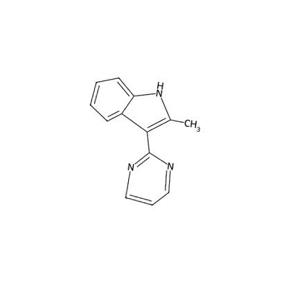 Cc1[nH]c2ccccc2c1-c1ncccn1